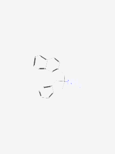 CC(N)([CH]c1ccc2ccccc2c1)Cc1ccccc1